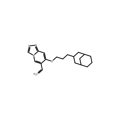 C=Cc1cn2cnnc2cc1OCCCC1CC2CCCC(C1)C2